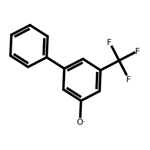 [O]c1cc(-c2ccccc2)cc(C(F)(F)F)c1